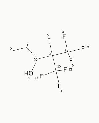 CCC(O)C(F)(C(F)(F)F)C(F)(F)F